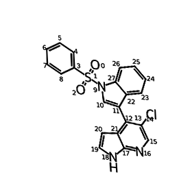 O=S(=O)(c1ccccc1)n1cc(-c2c(Cl)cnc3[nH]ccc23)c2ccccc21